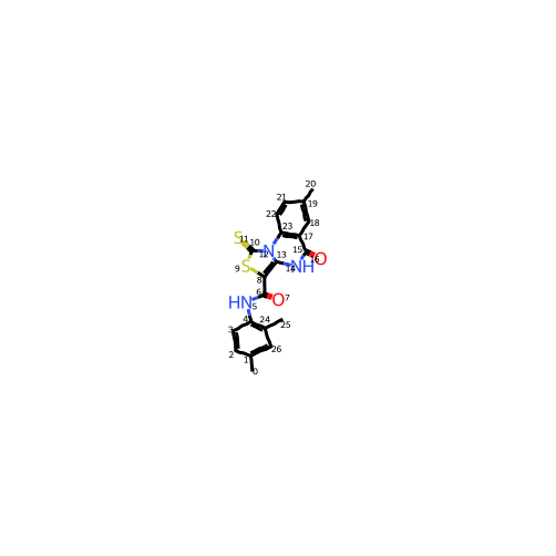 Cc1ccc(NC(=O)c2sc(=S)n3c2[nH]c(=O)c2cc(C)ccc23)c(C)c1